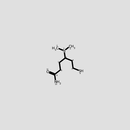 CN(C)C(CCS)CCC(N)=O